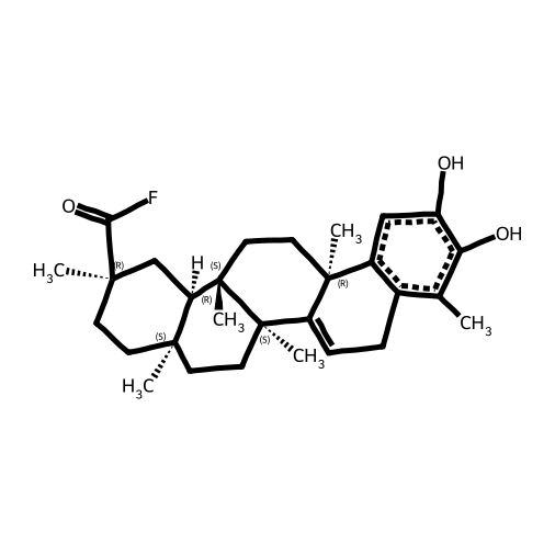 Cc1c(O)c(O)cc2c1CC=C1[C@@]2(C)CC[C@@]2(C)[C@@H]3C[C@](C)(C(=O)F)CC[C@]3(C)CC[C@]12C